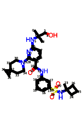 CC(C)(CO)Nc1ccc(C(=O)Nc2cccc(S(=O)(=O)NC3(C)CCC3)c2)c(N2CCC3(CC2)CC3)n1